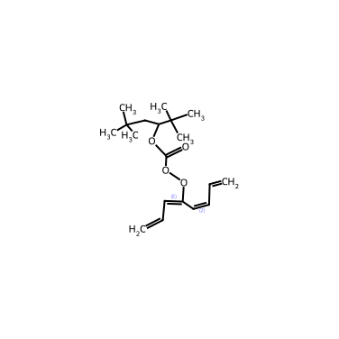 C=C/C=C\C(=C/C=C)OOC(=O)OC(CC(C)(C)C)C(C)(C)C